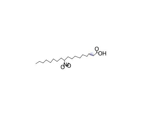 CCCCCCCCC(CCCCCC/C=C/C(=O)O)[N+](=O)[O-]